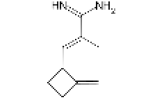 C=C1CCC1/C=C(\C)C(=N)N